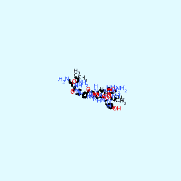 CC[C@H](C)[C@H](N)C(=O)N[C@@H](CCCCN)C(=O)N1CCN(c2ccc3ncn(CC(=O)N[C@@H](CCCNC(=N)N)C(=O)N(C)[C@@H](Cc4c[nH]cn4)C(=O)N[C@@H](Cc4ccc(O)cc4)C(=O)N[C@@H](CC(C)C)C(=O)N[C@@H](CC(N)=O)C(=O)NC)c(=O)c3c2)CC1